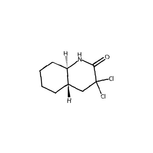 O=C1N[C@@H]2CCCC[C@H]2CC1(Cl)Cl